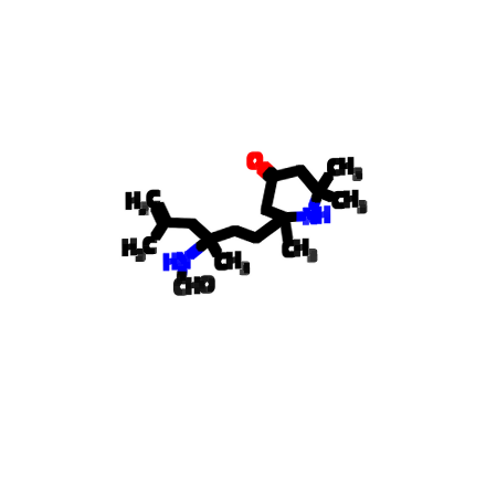 C=C(C)CC(C)(CCC1(C)CC(=O)CC(C)(C)N1)NC=O